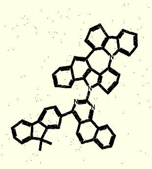 CC1(C)c2ccccc2-c2ccc(-c3nc(-n4c5cccc6c5c5c(cc7ccccc7c54)c4cccc5c7ccccc7n6c45)nc4c3ccc3ccccc34)cc21